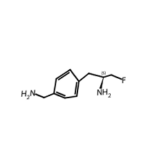 NCc1ccc(C[C@H](N)CF)cc1